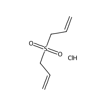 C=CCS(=O)(=O)CC=C.Cl